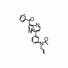 C=CCN(C(C)=O)c1cccc(-c2ccnc3c(C(=O)c4cccs4)cnn23)c1